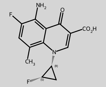 Cc1cc(F)c(N)c2c(=O)c(C(=O)O)cn([C@@H]3C[C@@H]3F)c12